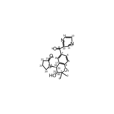 CC1(C)Oc2ccc(C(=O)c3cnccn3)cc2[C@H](N2CCCC2=O)[C@H]1O